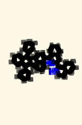 N=C(/C=c1/cccc/c1=C\c1ccc2c3c(cccc13)-c1c-2c(-c2ccccc2)c2ccccc2c1-c1ccccc1)C1=c2ccccc2=CCN1